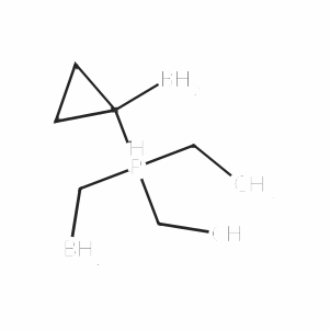 BC[PH](CC)(CC)C1(B)CC1